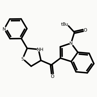 CC(C)(C)C(=O)n1cc(C(=O)C2CSC(c3cccnc3)N2)c2ccccc21